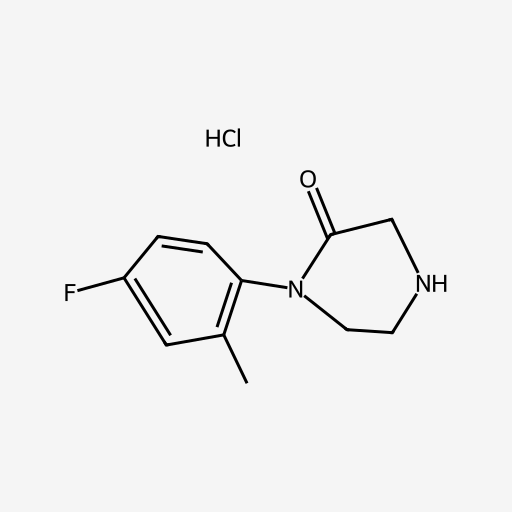 Cc1cc(F)ccc1N1CCNCC1=O.Cl